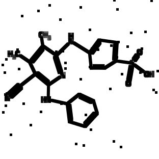 Cc1c(Nc2ccc(S(=O)(=O)O)cc2)nc(Nc2ccccc2)c(C#N)c1C